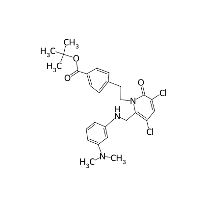 CN(C)c1cccc(NCc2c(Cl)cc(Cl)c(=O)n2CCc2ccc(C(=O)OC(C)(C)C)cc2)c1